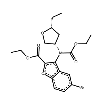 CCOC(=O)c1oc2ccc(Br)cc2c1N(C(=O)OCC)[C@@H]1CO[C@H](CC)C1